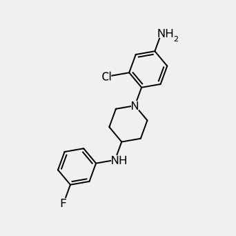 Nc1ccc(N2CCC(Nc3cccc(F)c3)CC2)c(Cl)c1